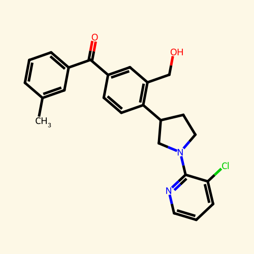 Cc1cccc(C(=O)c2ccc(C3CCN(c4ncccc4Cl)C3)c(CO)c2)c1